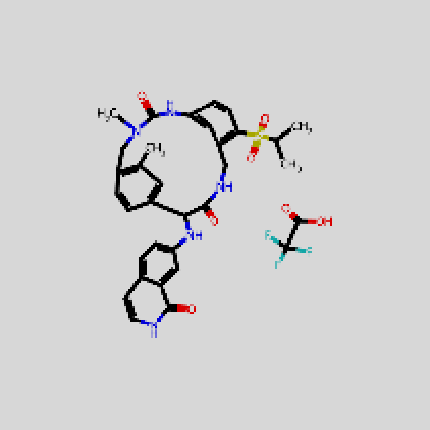 Cc1cc2ccc1CN(C)C(=O)Nc1ccc(S(=O)(=O)C(C)C)c(c1)CNC(=O)C2Nc1ccc2cc[nH]c(=O)c2c1.O=C(O)C(F)(F)F